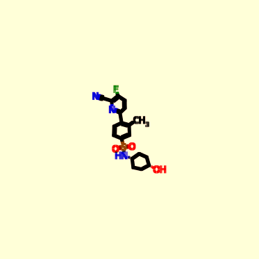 Cc1cc(S(=O)(=O)N[C@H]2CC[C@@H](O)CC2)ccc1-c1ccc(F)c(C#N)n1